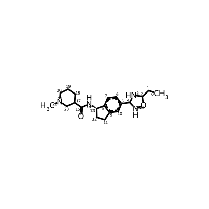 CCC1NC(c2ccc3c(c2)CC[C@H]3NC(=O)C2CCCN(C)C2)NO1